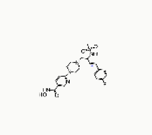 CS(=O)(=O)NC(/C=C/c1ccc(F)cc1)CN1CCN(c2ccc(C(=O)NO)cn2)CC1